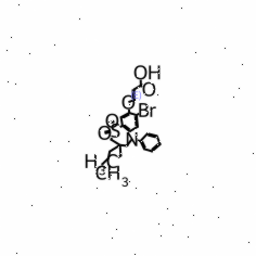 CCCCC1(CC)CN(c2ccccc2)c2cc(Br)c(O/C=C/C(=O)O)cc2S(=O)(=O)C1